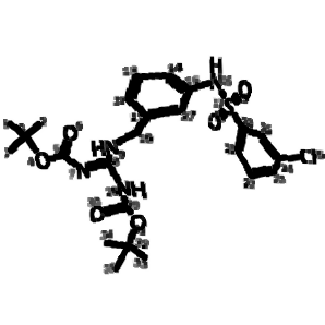 CC(C)(C)OC(=O)/N=C(\NCc1cccc(NS(=O)(=O)c2cccc(Cl)c2)c1)NC(=O)OC(C)(C)C